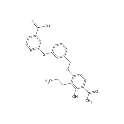 CCCc1c(OCc2cccc(Sc3cc(C(=O)O)ccn3)c2)ccc(C(C)=O)c1O